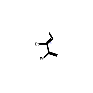 C=C(CC)/C(=C/C)CC